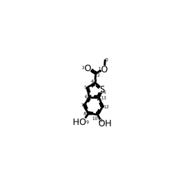 COC(=O)c1cc2cc(O)c(O)cc2s1